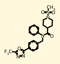 CS(=O)(=O)N1CCC(C(=O)N(Cc2ccc(-c3nnc(C(F)(F)F)o3)cc2)c2ccccc2)CC1